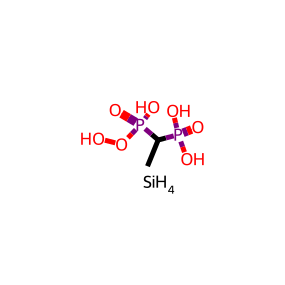 CC(P(=O)(O)O)P(=O)(O)OO.[SiH4]